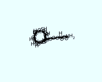 NC(=O)COCC(=O)NCCOCCOCCOCCNC(=O)C1NC(=O)CNC(=O)[C@H](CS)NC(=O)CNC(=O)CNC(=O)CNC(=O)[C@H](CS)NC(=O)CNC(=O)CS1